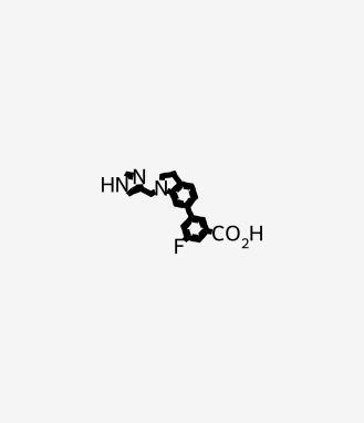 O=C(O)c1cc(F)cc(-c2ccc3c(c2)N(Cc2c[nH]cn2)CC3)c1